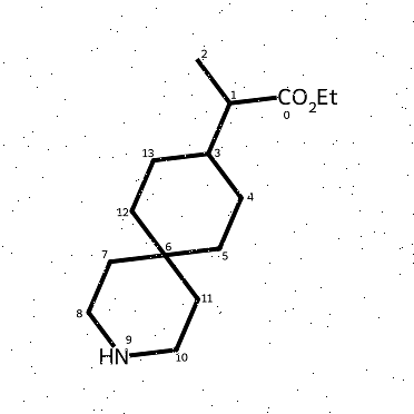 CCOC(=O)C(C)C1CCC2(CCNCC2)CC1